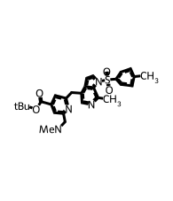 CNCc1cc(C(=O)OC(C)(C)C)cc(Cc2cnc(C)c3c2ccn3S(=O)(=O)c2ccc(C)cc2)n1